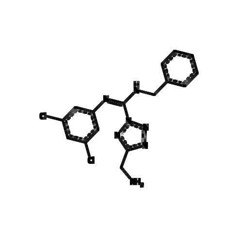 NCc1nnn(C(=Nc2cc(Cl)cc(Cl)c2)NCc2ccccc2)n1